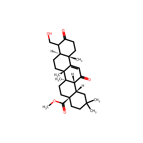 COC(=O)[C@]12CCC(C)(C)C[C@H]1[C@H]1C(=O)C=C3[C@@]4(C)CCC(=O)C(CO)[C@@H]4CC[C@@]3(C)[C@]1(C)CC2